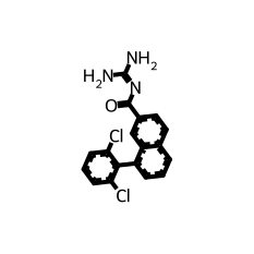 NC(N)=NC(=O)c1ccc2cccc(-c3c(Cl)cccc3Cl)c2c1